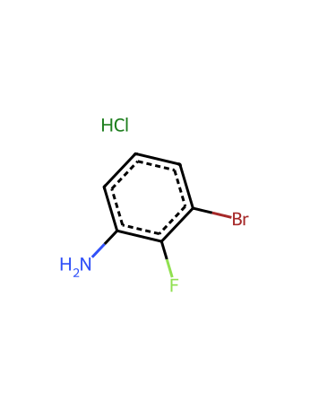 Cl.Nc1cccc(Br)c1F